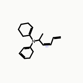 C=C/C=C\C(C)N(C1=CC=CCC1)C1=CCCCC1